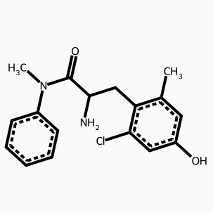 Cc1cc(O)cc(Cl)c1CC(N)C(=O)N(C)c1ccccc1